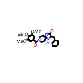 COc1cc(C(=O)N2CCC3(CC2)[N]C(=O)C(Cc2ccccc2)N3)cc(OC)c1OC